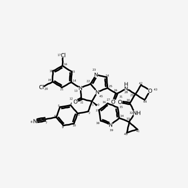 C[C@@]1(Cc2ccc(C#N)cc2)C(=O)N(c2cc(Cl)cc(Cl)c2)c2ncc(C(=O)NC3(C(=O)NC4(c5ccccn5)CC4)COC3)n21